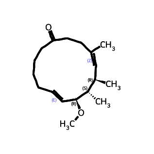 CO[C@H]1/C=C/CCCCC(=O)CC/C(C)=C\[C@@H](C)[C@@H]1C